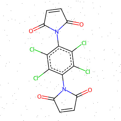 O=C1C=CC(=O)N1c1c(Cl)c(Cl)c(N2C(=O)C=CC2=O)c(Cl)c1Cl